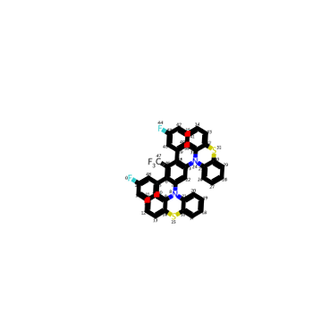 Fc1cccc(-c2c(N3c4ccccc4Sc4ccccc43)cc(N3c4ccccc4Sc4ccccc43)c(-c3cccc(F)c3)c2C(F)(F)F)c1